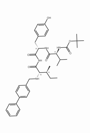 CC[C@H](C)[C@H](NCc1ccc(-c2ccccc2)cc1)C(=O)NC(=O)[C@H](Cc1ccc(O)cc1)NC(=O)[C@@H](NC(=O)OC(C)(C)C)C(C)C